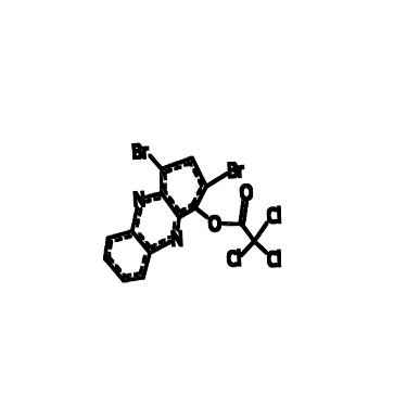 O=C(Oc1c(Br)cc(Br)c2nc3ccccc3nc12)C(Cl)(Cl)Cl